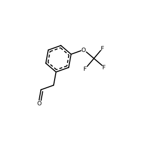 O=CCc1cccc(OC(F)(F)F)c1